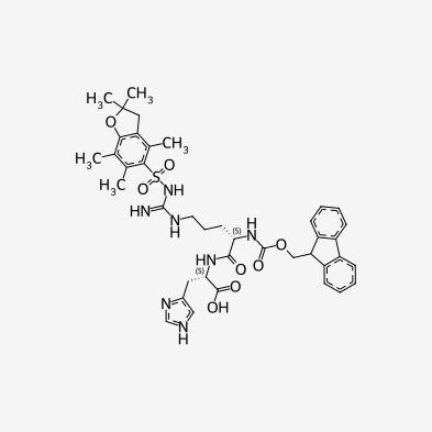 Cc1c(C)c(S(=O)(=O)NC(=N)NCCC[C@H](NC(=O)OCC2c3ccccc3-c3ccccc32)C(=O)N[C@@H](Cc2c[nH]cn2)C(=O)O)c(C)c2c1OC(C)(C)C2